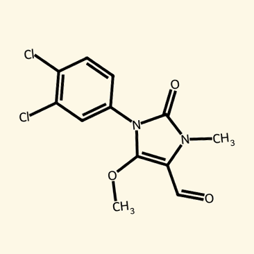 COc1c(C=O)n(C)c(=O)n1-c1ccc(Cl)c(Cl)c1